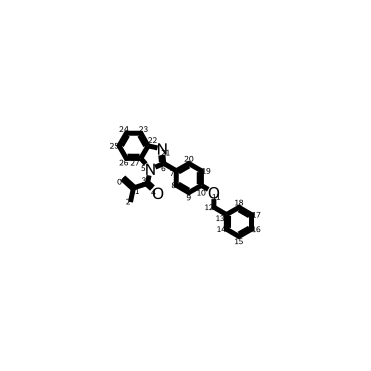 C=C(C)C(=O)n1c(-c2ccc(OCc3ccccc3)cc2)nc2ccccc21